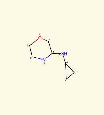 C1COCC(NC2CC2)[N]1